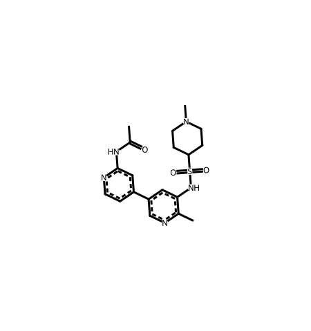 CC(=O)Nc1cc(-c2cnc(C)c(NS(=O)(=O)C3CCN(C)CC3)c2)ccn1